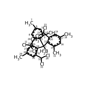 BC(c1c(C)cc(C)cc1C(Cl)Cl)(c1c(C)cc(C)cc1C(Cl)Cl)c1c(C)cc(C)cc1C(Cl)Cl